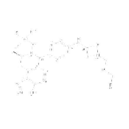 C[C@@H]1Cc2c(ccc3[nH]ncc23)C(c2ccc(NC3CN(CCCF)C3)cn2)N1CC(F)(F)F